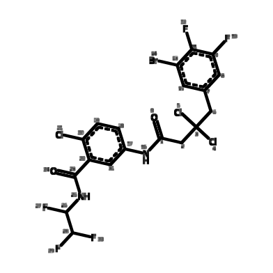 O=C(CC(Cl)(Cl)Cc1cc(F)c(F)c(Br)c1)Nc1ccc(Cl)c(C(=O)NC(F)C(F)F)c1